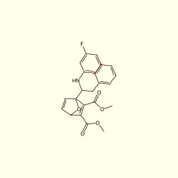 COC(=O)C1=C(C(=O)OC)C2(C(Cc3ccccc3)Nc3cccc(F)c3)C=CC1O2